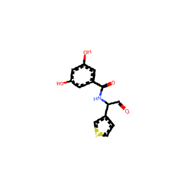 O=[C]C(NC(=O)c1cc(O)cc(O)c1)c1ccsc1